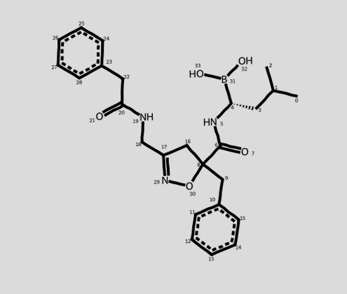 CC(C)C[C@H](NC(=O)C1(Cc2ccccc2)CC(CNC(=O)Cc2ccccc2)=NO1)B(O)O